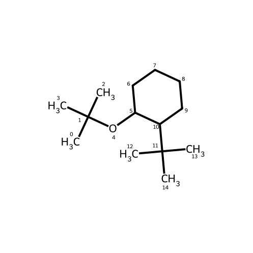 CC(C)(C)OC1CCCCC1C(C)(C)C